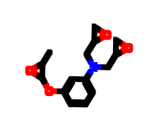 CC1OC1Oc1cccc(N(CC2CO2)CC2CO2)c1